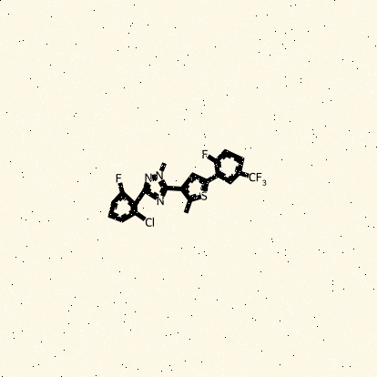 Cc1sc(-c2cc(C(F)(F)F)ccc2F)cc1-c1nc(-c2c(F)cccc2Cl)nn1C